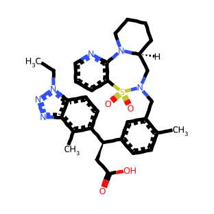 CCn1nnc2c(C)c([C@H](CC(=O)O)c3ccc(C)c(CN4C[C@@H]5CCCCN5c5ncccc5S4(=O)=O)c3)ccc21